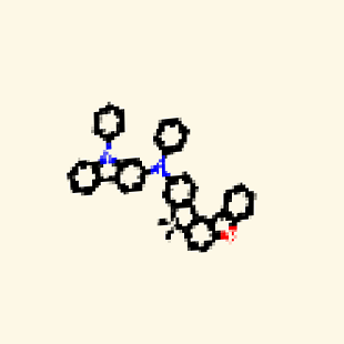 C[Si]1(C)c2cc(N(c3ccccc3)c3ccc4c5ccccc5n(-c5ccccc5)c4c3)ccc2-c2c1ccc1oc3ccccc3c21